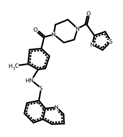 Cc1cc(C(=O)N2CCN(C(=O)c3cscn3)CC2)ccc1NSc1cccc2cccnc12